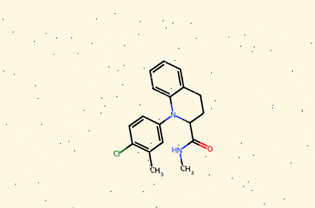 CNC(=O)C1CCc2ccccc2N1c1ccc(Cl)c(C)c1